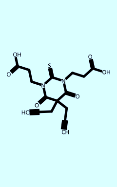 C#CCC1(CC#C)C(=O)N(CCC(=O)O)C(=S)N(CCC(=O)O)C1=O